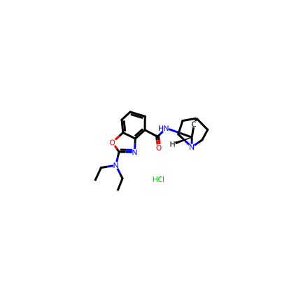 CCN(CC)c1nc2c(C(=O)N[C@@H]3CC4CCN3CC4)cccc2o1.Cl